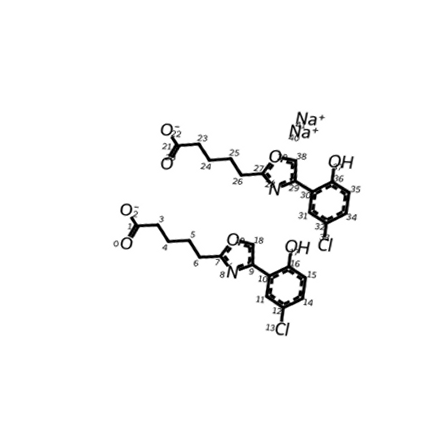 O=C([O-])CCCCc1nc(-c2cc(Cl)ccc2O)co1.O=C([O-])CCCCc1nc(-c2cc(Cl)ccc2O)co1.[Na+].[Na+]